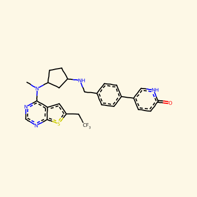 CN(c1ncnc2sc(CC(F)(F)F)cc12)C1CCC(NCc2ccc(-c3ccc(=O)[nH]c3)cc2)C1